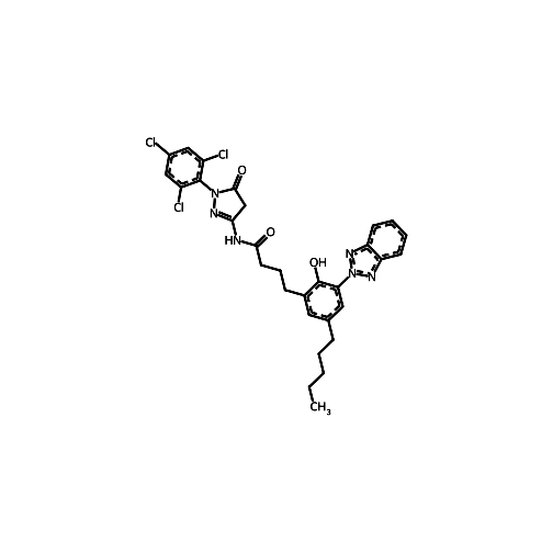 CCCCCc1cc(CCCC(=O)NC2=NN(c3c(Cl)cc(Cl)cc3Cl)C(=O)C2)c(O)c(-n2nc3ccccc3n2)c1